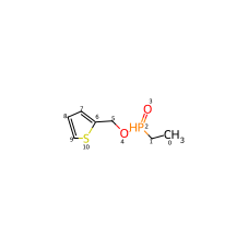 CC[PH](=O)OCc1cccs1